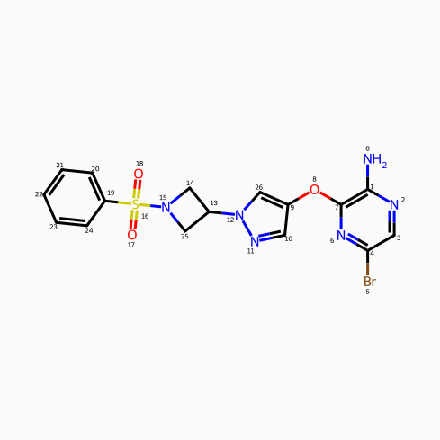 Nc1ncc(Br)nc1Oc1cnn(C2CN(S(=O)(=O)c3ccccc3)C2)c1